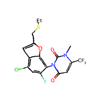 CCSCc1cc2c(Cl)cc(F)c(-n3c(=O)cc(C(F)(F)F)n(C)c3=O)c2o1